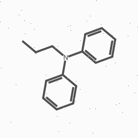 C[CH]CN(c1ccccc1)c1ccccc1